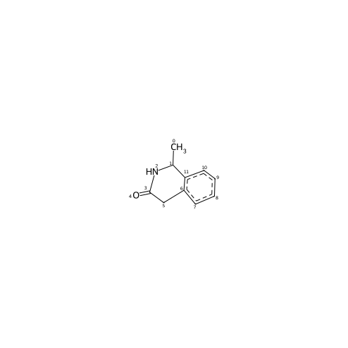 CC1NC(=O)Cc2ccccc21